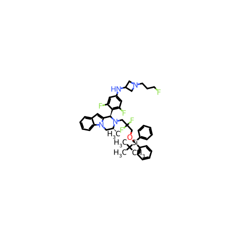 C[C@@H]1Cn2c(cc3ccccc32)[C@@H](c2c(F)cc(NC3CN(CCCF)C3)cc2F)N1CC(F)(F)CO[Si](c1ccccc1)(c1ccccc1)C(C)(C)C